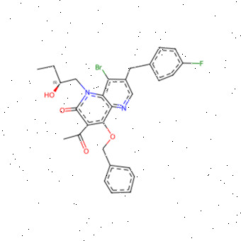 CC[C@H](O)Cn1c(=O)c(C(C)=O)c(OCc2ccccc2)c2ncc(Cc3ccc(F)cc3)c(Br)c21